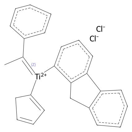 C/[C](c1ccccc1)=[Ti+2](\[C]1=CC=CC1)[c]1cccc2c1Cc1ccccc1-2.[Cl-].[Cl-]